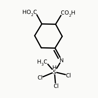 C[SH](Cl)(Cl)(Cl)N=C1CCC(C(=O)O)C(C(=O)O)C1